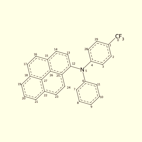 FC(F)(F)c1ccc(N(c2ccccc2)c2ccc3ccc4cccc5ccc2c3c45)cc1